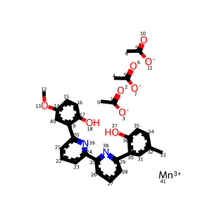 CC(=O)[O-].CC(=O)[O-].CC(=O)[O-].COc1ccc(O)c(-c2cccc(-c3cccc(-c4cc(C)ccc4O)n3)n2)c1.[Mn+3]